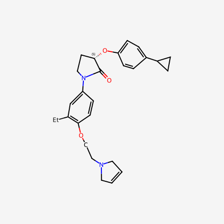 CCc1cc(N2CC[C@H](Oc3ccc(C4CC4)cc3)C2=O)ccc1OCCN1CC=CC1